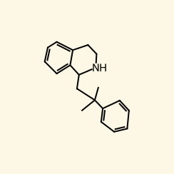 CC(C)(CC1NCCc2ccccc21)c1ccccc1